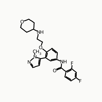 Cn1nccc1-c1cc(NC(=O)c2ccc(F)cc2F)ccc1OCCNC1CCOCC1